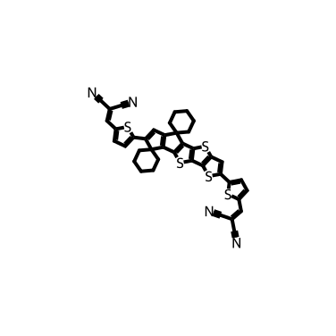 N#CC(C#N)=Cc1ccc(C2=CC3=C(c4sc5c(sc6cc(-c7ccc(C=C(C#N)C#N)s7)sc65)c4C34CCCCC4)C23CCCCC3)s1